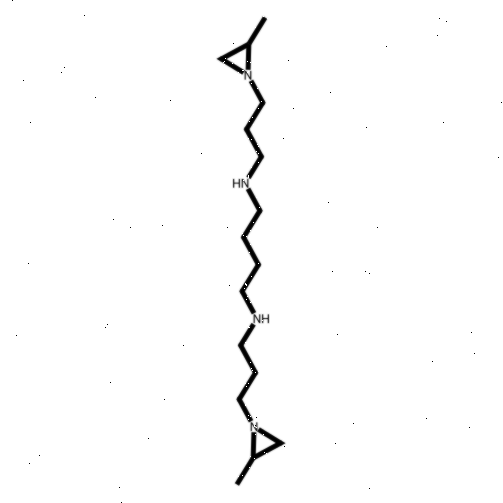 CC1CN1CCCNCCCCNCCCN1CC1C